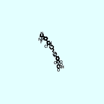 O=C1CCC(N2C(=O)c3ccc(N4CCN(CCC5CCN(c6ncc(-c7ccc8c9cnccc9n(C(F)F)c8c7)cc6Cl)CC5)CC4)cc3C2=O)C(=O)N1